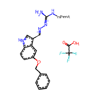 CCCCCN/C(N)=N/N=C/c1c[nH]c2ccc(OCc3ccccc3)cc12.O=C(O)C(F)(F)F